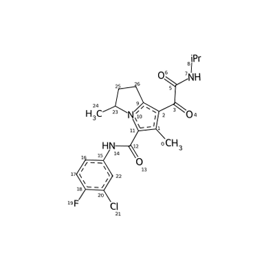 Cc1c(C(=O)C(=O)NC(C)C)c2n(c1C(=O)Nc1ccc(F)c(Cl)c1)C(C)CC2